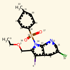 CCOCc1c(I)c2cc(Br)cnc2n1S(=O)(=O)c1ccc(C)cc1